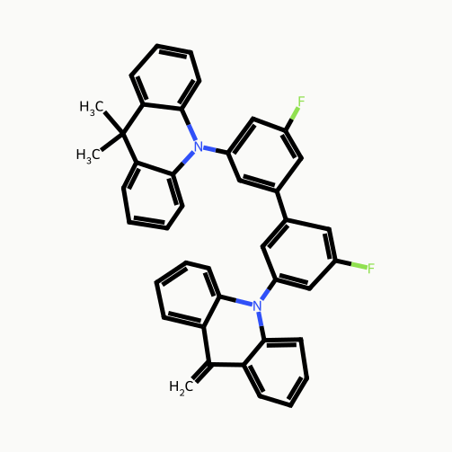 C=C1c2ccccc2N(c2cc(F)cc(-c3cc(F)cc(N4c5ccccc5C(C)(C)c5ccccc54)c3)c2)c2ccccc21